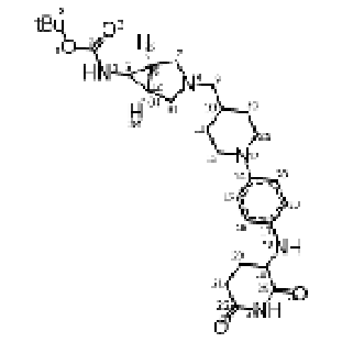 CC(C)(C)OC(=O)NC1[C@H]2CN(CC3CCN(c4ccc(NC5CCC(=O)NC5=O)cc4)CC3)C[C@@H]12